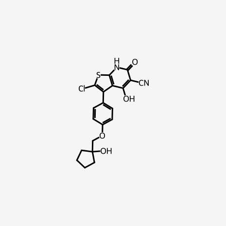 N#Cc1c(O)c2c(-c3ccc(OCC4(O)CCCC4)cc3)c(Cl)sc2[nH]c1=O